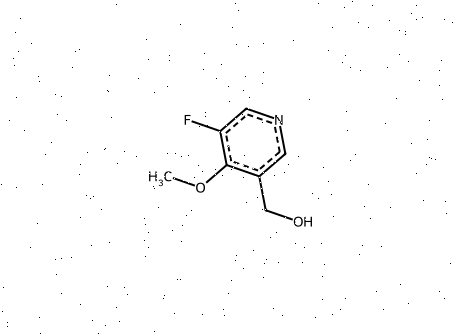 COc1c(F)cncc1CO